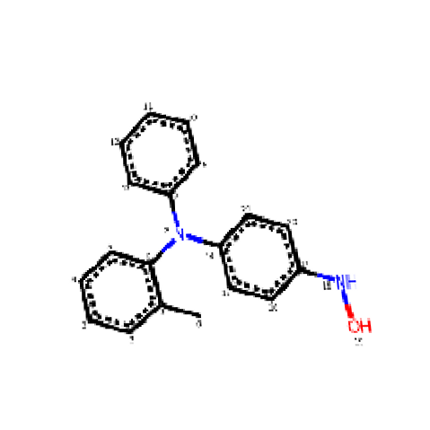 Cc1ccccc1N(c1ccccc1)c1ccc(NO)cc1